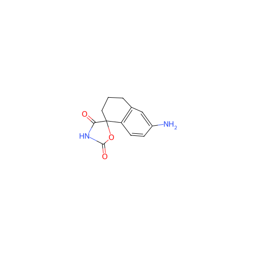 Nc1ccc2c(c1)CCCC21OC(=O)NC1=O